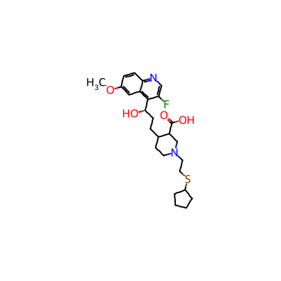 COc1ccc2ncc(F)c([C@H](O)CCC3CCN(CCSC4CCCC4)CC3C(=O)O)c2c1